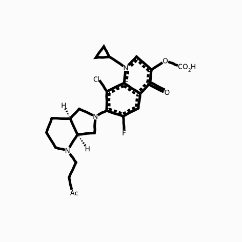 CC(=O)CCN1CCC[C@H]2CN(c3c(F)cc4c(=O)c(OC(=O)O)cn(C5CC5)c4c3Cl)C[C@H]21